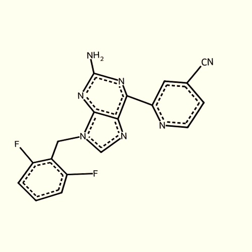 N#Cc1ccnc(-c2nc(N)nc3c2ncn3Cc2c(F)cccc2F)c1